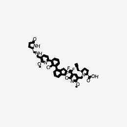 C#CC[C@H]1CC[C@@H](C(=O)O)N1Cc1cc(C(F)(F)F)c(O[C@H]2CCc3c(-c4cccc(-c5ccc(CNC[C@@H]6CCC(=O)N6)c(OC)n5)c4Cl)cccc32)nc1OC